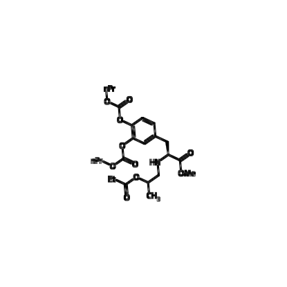 CCCOC(=O)Oc1ccc(C[C@H](NCC(C)OC(=O)CC)C(=O)OC)cc1OC(=O)OCCC